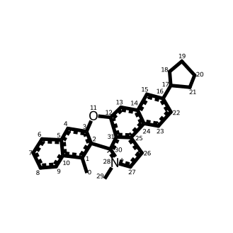 Cc1c2c(cc3ccccc13)Oc1cc3cc(C4CCCC4)ccc3c3cc[n+](C)c-2c13